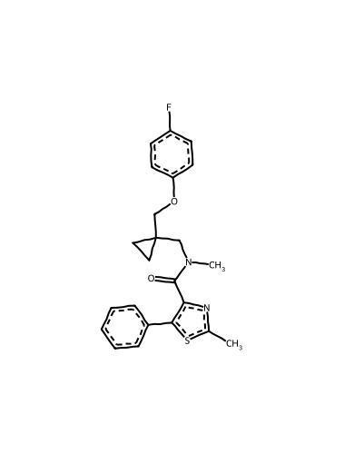 Cc1nc(C(=O)N(C)CC2(COc3ccc(F)cc3)CC2)c(-c2ccccc2)s1